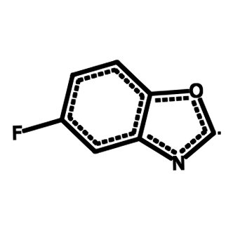 Fc1ccc2o[c]nc2c1